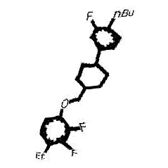 CCCCc1ccc(C2CCC(COc3ccc(CC)c(F)c3F)CC2)cc1F